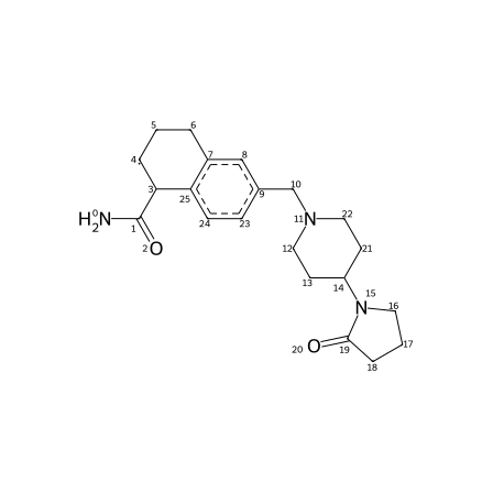 NC(=O)C1[CH]CCc2cc(CN3CCC(N4CCCC4=O)CC3)ccc21